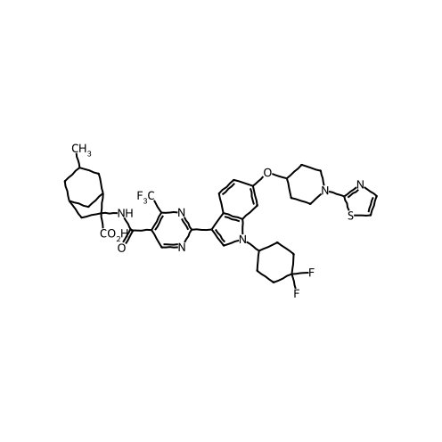 CC1CC2CC(C1)C(NC(=O)c1cnc(-c3cn(C4CCC(F)(F)CC4)c4cc(OC5CCN(c6nccs6)CC5)ccc34)nc1C(F)(F)F)(C(=O)O)C2